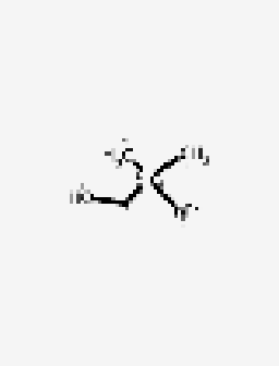 CC[CH2][Sn]([CH3])([CH3])[CH2]O